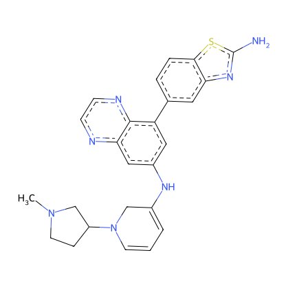 CN1CCC(N2C=CC=C(Nc3cc(-c4ccc5sc(N)nc5c4)c4nccnc4c3)C2)C1